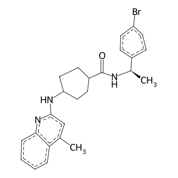 Cc1cc(NC2CCC(C(=O)N[C@H](C)c3ccc(Br)cc3)CC2)nc2ccccc12